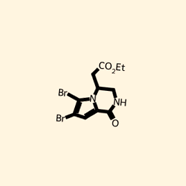 CCOC(=O)CC1CNC(=O)c2cc(Br)c(Br)n21